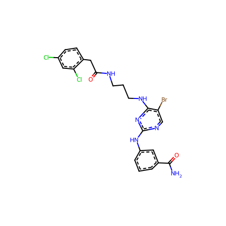 NC(=O)c1cccc(Nc2ncc(Br)c(NCCCNC(=O)Cc3ccc(Cl)cc3Cl)n2)c1